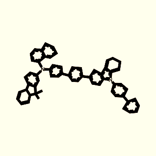 CC1(C)c2cc(N(c3ccc(-c4ccc(-c5ccc6c(c5)c5c(n6-c6ccc(-c7ccccc7)cc6)=CCCC=5)cc4)cc3)c3cccc4ccccc34)ccc2C2C=CC=CC21